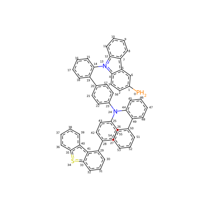 Pc1ccc2c(c1)c1ccccc1n2-c1ccccc1-c1ccc(N(c2ccc(-c3cccc4sc5ccccc5c34)cc2)c2ccccc2-c2ccccc2)cc1